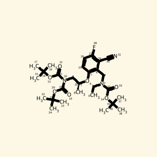 CCN(Cc1c(O[C@@H](C)CN(C(=O)OC(C)(C)C)C(=O)OC(C)(C)C)ccc(F)c1C#N)C(=O)OC(C)(C)C